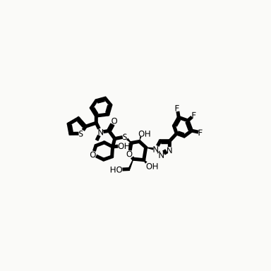 CN(C(=O)C(S[C@@H]1O[C@H](CO)[C@H](O)[C@H](n2cc(-c3cc(F)c(F)c(F)c3)nn2)[C@H]1O)C1(O)CCOCC1)C(c1ccccc1)c1cccs1